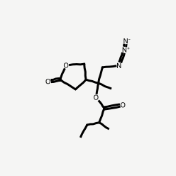 CCC(C)C(=O)OC(C)(CN=[N+]=[N-])C1COC(=O)C1